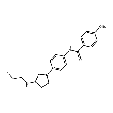 CC(C)COc1ccc(C(=O)Nc2ccc(N3CCC(NCCF)C3)cc2)cc1